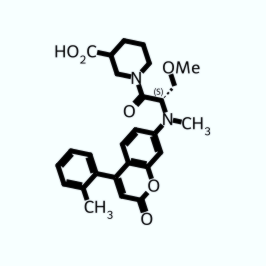 COC[C@@H](C(=O)N1CCCC(C(=O)O)C1)N(C)c1ccc2c(-c3ccccc3C)cc(=O)oc2c1